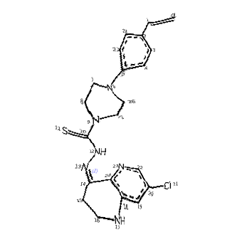 C=Cc1ccc(N2CCN(C(=S)N/N=C3/CCNc4cc(Cl)cnc43)CC2)cc1